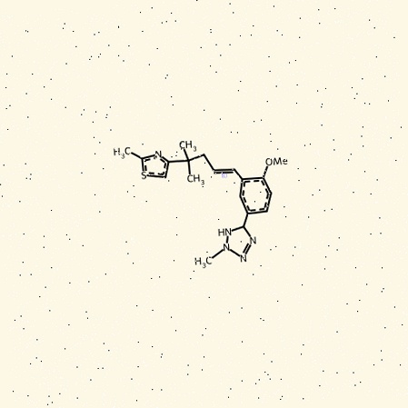 COc1ccc(C2N=NN(C)N2)cc1/C=C/CC(C)(C)c1csc(C)n1